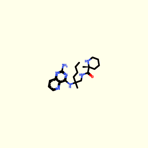 CCCCC(C)(CNC(=O)[C@@]1(C)CCCCN1)Nc1nc(N)nc2cccnc12